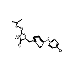 CC(C)=N/N=C1\NC(=O)C(Cc2ccc(Sc3ccc(Cl)cc3)cc2)S1